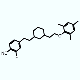 Cc1cc(C)c(OCCC2CCCC(CCc3ccc(C#N)c(F)c3)C2)c(C)c1